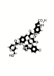 O=C(O)c1cc2cc(NC(=O)[C@H](Cc3ccc(NC(=O)N4CCO[C@H](CO)C4)cc3)N3CCN(c4cc(Cl)ccc4-n4cnnn4)C(=O)C3=O)ccc2[nH]1